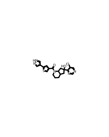 O=C(c1csc(-c2cn[nH]c2)c1)N1CCCC2CC(O)(c3ncncc3Cl)CC21